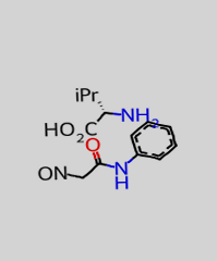 CC(C)[C@H](N)C(=O)O.O=NCC(=O)Nc1ccccc1